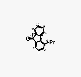 CC(C)c1cccc2c1-c1ccccc1C2=O